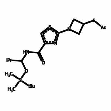 CC(=O)SC1CN(c2nc(C(=O)NC(O[Si](C)(C)C(C)(C)C)C(C)C)cs2)C1